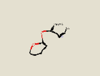 CCCCCC(/C=[CH]\[Cu])OC1CCCCO1